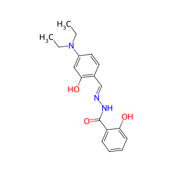 CCN(CC)c1ccc(/C=N/NC(=O)c2ccccc2O)c(O)c1